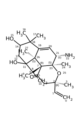 C=C[C@@]1(C)CC(=O)[C@@]23C(C)(C)C4(O)CC(O)C(C)(C)C(=C[C@H](N)[C@@]2(C)O1)[C@]43C